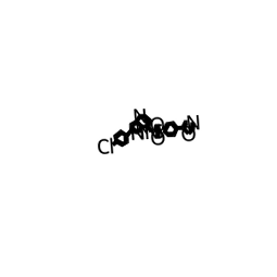 O=S(=O)(Nc1ccnc2cc(-c3ccc(Cl)cc3)nn12)c1ccc(-c2cnco2)cc1